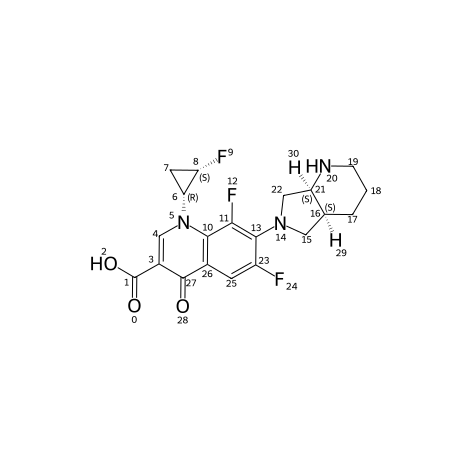 O=C(O)c1cn([C@@H]2C[C@@H]2F)c2c(F)c(N3C[C@@H]4CCCN[C@@H]4C3)c(F)cc2c1=O